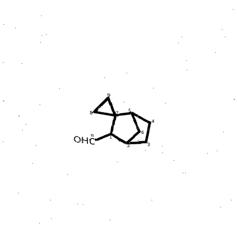 O=CC1C2CCC(C2)C12CC2